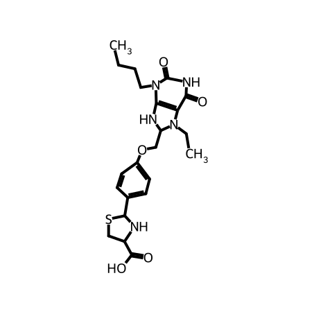 CCCCn1c2c(c(=O)[nH]c1=O)N(CC)C(COc1ccc(C3NC(C(=O)O)CS3)cc1)N2